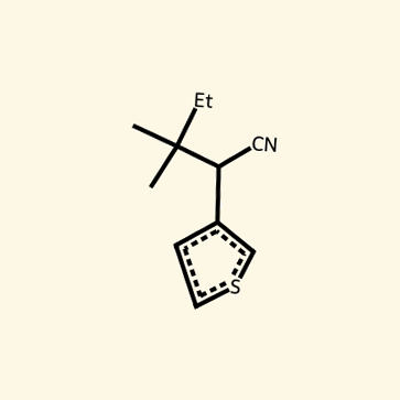 CCC(C)(C)C(C#N)c1ccsc1